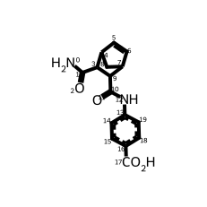 NC(=O)C1C2C=CC(C2)C1C(=O)Nc1ccc(C(=O)O)cc1